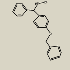 ONC(c1ccccc1)c1ccc(OCc2ccccc2)cc1